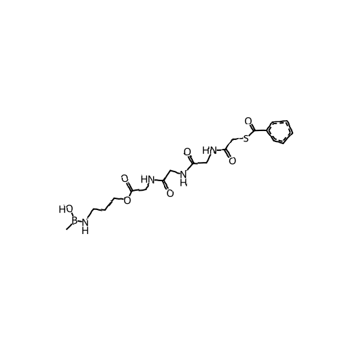 CB(O)NCCCOC(=O)CNC(=O)CNC(=O)CNC(=O)CSC(=O)c1ccccc1